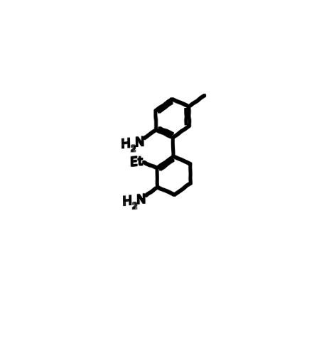 CCC1=C(c2cc(C)ccc2N)CCCC1N